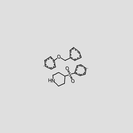 O=S(=O)(c1cc[c]cc1)C1CCNCC1.[c]1ccc(OCc2ccccc2)cc1